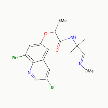 CON=CC(C)(C)NC(=O)C(Oc1cc(Br)c2ncc(Br)cc2c1)SC